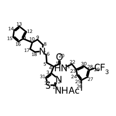 CC(=O)Nc1nc(C(CCN2CCC(c3ccccc3)CC2)C(=O)NCc2cc(I)cc(C(F)(F)F)c2)cs1